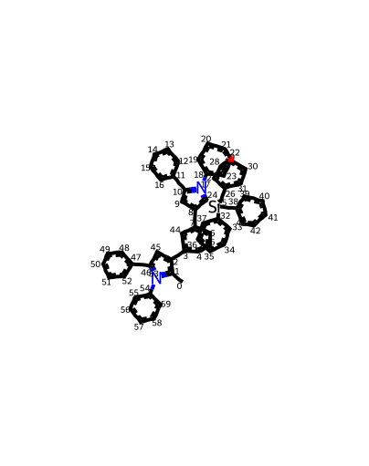 Cc1c(-c2cccc(-c3cc(-c4ccccc4)n(-c4ccccc4)c3[Si](c3ccccc3)(c3ccccc3)c3ccccc3)c2)cc(-c2ccccc2)n1-c1ccccc1